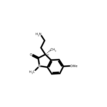 COc1ccc2c(c1)[C@](C)(CCN)C(=O)N2C